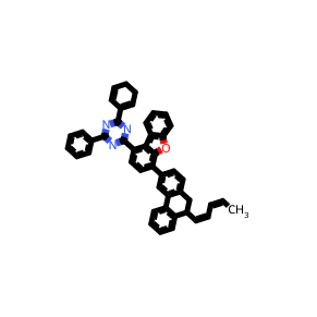 C/C=C\C=C/C1Cc2ccc(-c3ccc(-c4nc(C5=CCCC=C5)nc(-c5ccccc5)n4)c4c3oc3ccccc34)cc2-c2ccccc21